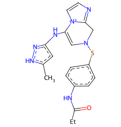 CCC(=O)Nc1ccc(SN2C=C(Nc3cc(C)[nH]n3)[N+]3C=CN=C3C2)cc1